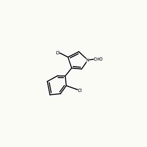 O=Cn1cc(Cl)c(-c2ccccc2Cl)c1